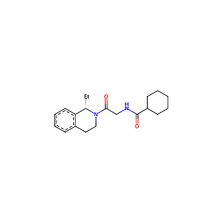 CC[C@H]1c2ccccc2CCN1C(=O)CNC(=O)C1CCCCC1